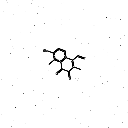 C=CC1=C(C)C(=O)C(=O)c2c1ccc(C(C)(C)C)c2C